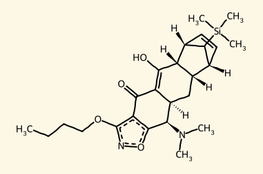 CCCCOc1noc2c1C(=O)C1=C(O)[C@H]3[C@@H](C[C@H]1[C@H]2N(C)C)[C@H]1C=C[C@@H]3C1[Si](C)(C)C